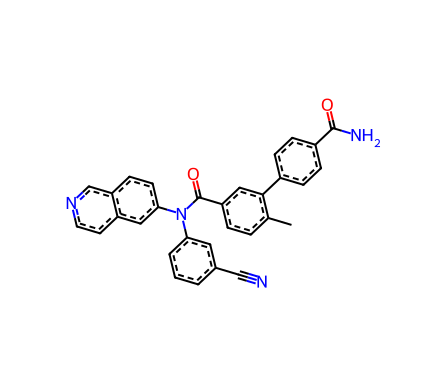 Cc1ccc(C(=O)N(c2cccc(C#N)c2)c2ccc3cnccc3c2)cc1-c1ccc(C(N)=O)cc1